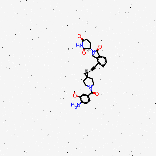 COc1cc(C(=O)N2CCC3(CC2)C[C@@H]3C#Cc2cccc3c2CN([C@H]2CCC(=O)NC2=O)C3=O)ccc1N